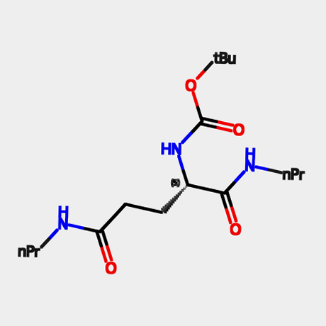 CCCNC(=O)CC[C@H](NC(=O)OC(C)(C)C)C(=O)NCCC